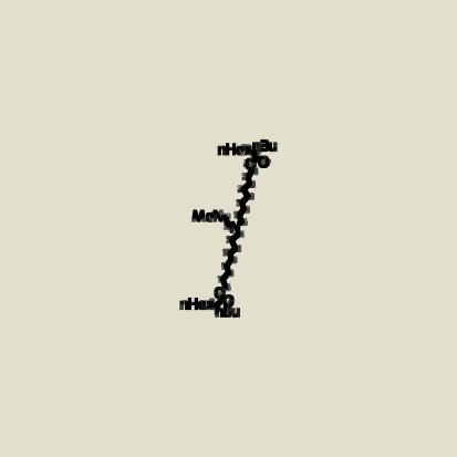 CCCCCCC(CCCC)C(=O)OCCCCCCCCCN(CCCCCCCCCOC(=O)C(CCCC)CCCCCC)CCNC